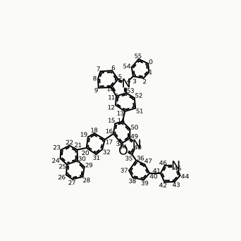 c1ccc(-n2c3ccccc3c3cc(-c4cc(-c5ccc(-c6cccc7ccccc67)cc5)c5oc(-c6cccc(-c7cccnc7)c6)nc5c4)ccc32)cc1